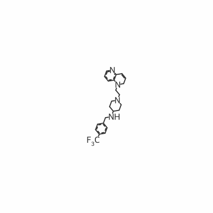 FC(F)(F)c1ccc(CNC2CCN(CCN3CC=Cc4ncccc43)CC2)cc1